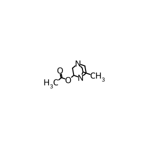 CC(=O)OC1CN2CCN1C(C)C2